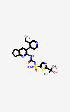 CCc1cnccc1-c1cc2c(nc1NC(=O)N=S(N)(=O)c1cnc(C(C)(C)O)s1)CCC2